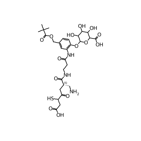 CC(C)(C)C(=O)OCc1ccc(OC2OC(C(=O)O)C(O)C(O)C2O)c(NC(=O)CCNC(=O)[C@H](CN)CC(=O)C(S)CC(=O)O)c1